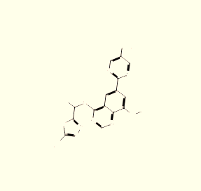 COc1cc(-c2ncc(C)cn2)cc2c(NC(C)c3nnc(C)o3)ncnc12